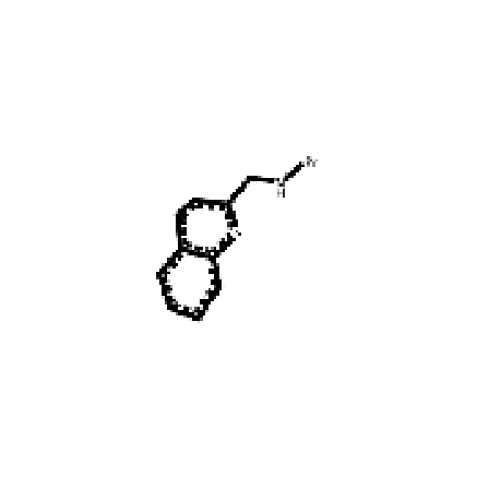 CC(C)NCc1ccc2ccccc2n1